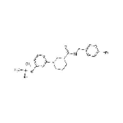 CC(=O)C(C)(C)Oc1cccc(N2CCCC(C(=O)NCc3ccc(C(C)C)cc3)C2)c1